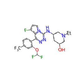 CCN1CC(O)CC(Nc2nnc(-c3ccc(C(F)(F)F)cc3OC(F)F)c3c(F)ccn23)C1